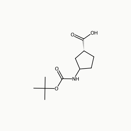 CC(C)(C)OC(=O)NC1CC[C@@H](C(=O)O)C1